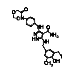 Cc1cc(CNc2[nH]nc(Nc3ccc(N4CCOCC4=O)cc3)c2C(N)=O)cc(CI)c1O